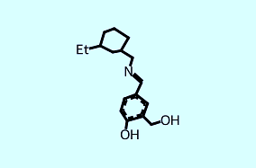 CCC1CCCC(CN=Cc2ccc(O)c(CO)c2)C1